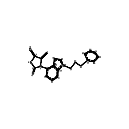 C=C1C(=O)SC(=O)N1c1cccc2c1ccn2CCCc1ccccc1